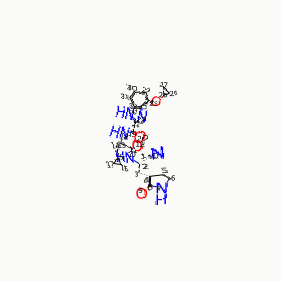 N#C[C@H](C[C@@H]1CCNC1=O)NC(=O)[C@H](CC1CC1)NC(=O)c1nc2c(OC3CC3)cccc2[nH]1